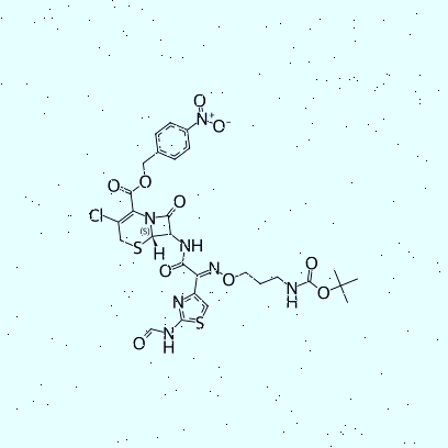 CC(C)(C)OC(=O)NCCCON=C(C(=O)NC1C(=O)N2C(C(=O)OCc3ccc([N+](=O)[O-])cc3)=C(Cl)CS[C@@H]12)c1csc(NC=O)n1